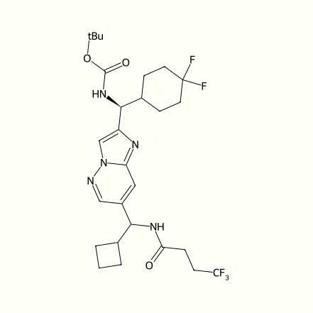 CC(C)(C)OC(=O)N[C@H](c1cn2ncc(C(NC(=O)CCC(F)(F)F)C3CCC3)cc2n1)C1CCC(F)(F)CC1